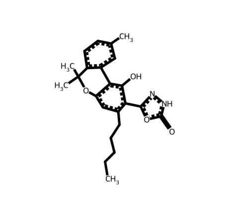 CCCCCc1cc2c(c(O)c1-c1n[nH]c(=O)o1)-c1cc(C)ccc1C(C)(C)O2